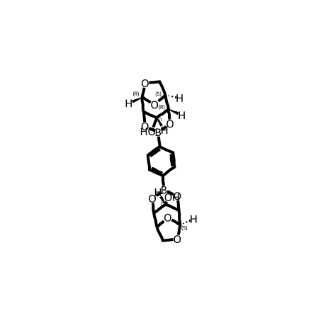 O[C@H]1C2OB(c3ccc(B4OC5[C@@H]6OC[C@H](O6)[C@H](O4)[C@@H]5O)cc3)OC1[C@H]1OCC2O1